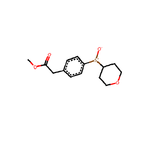 COC(=O)Cc1ccc([S+]([O-])C2CCOCC2)cc1